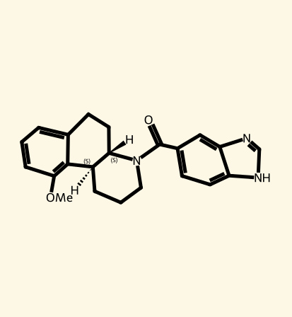 COc1cccc2c1[C@@H]1CCCN(C(=O)c3ccc4[nH]cnc4c3)[C@H]1CC2